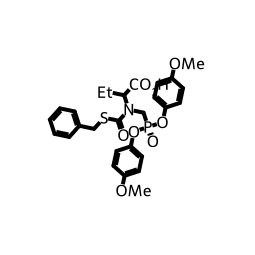 CCC(C(=O)O)N(CP(=O)(Oc1ccc(OC)cc1)Oc1ccc(OC)cc1)C(=O)SCc1ccccc1